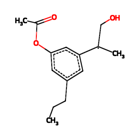 CCCc1cc(OC(C)=O)cc([C](C)CO)c1